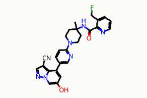 CC1(NC(=O)c2ncccc2CF)CCN(c2ccc(-c3cc(O)cn4ncc(C#N)c34)cn2)CC1